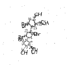 C#Cc1cc(Br)c(-c2cc(Br)c(-c3cc(C#C)c(C#C)cc3Br)cc2Br)cc1C#C